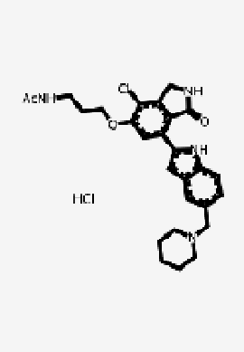 CC(=O)NCCCOc1cc(-c2cc3cc(CN4CCCCC4)ccc3[nH]2)c2c(c1Cl)CNC2=O.Cl